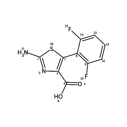 Nc1nc(C(=O)O)c(-c2c(F)cccc2F)s1